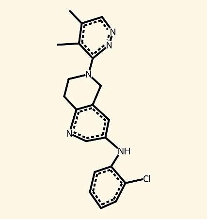 Cc1cnnc(N2CCc3ncc(Nc4ccccc4Cl)cc3C2)c1C